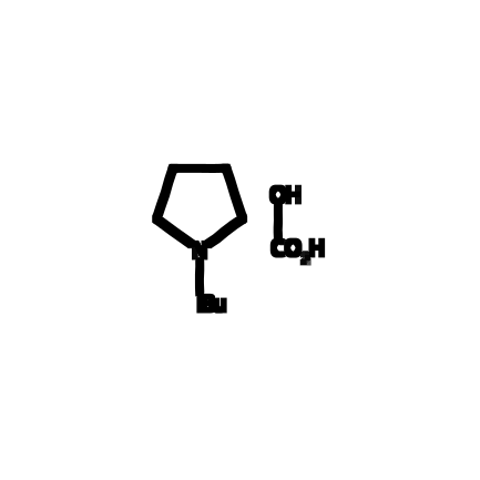 CCC(C)N1CCCC1.O=C(O)O